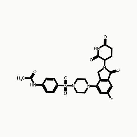 CC(=O)Nc1ccc(S(=O)(=O)N2CCN(c3cc(F)cc4c3CN(C3CCC(=O)NC3=O)C4=O)CC2)cc1